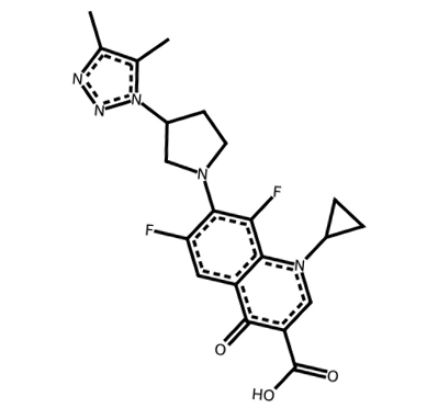 Cc1nnn(C2CCN(c3c(F)cc4c(=O)c(C(=O)O)cn(C5CC5)c4c3F)C2)c1C